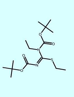 CCSC(=NC(=O)OC(C)(C)C)N(CC)C(=O)OC(C)(C)C